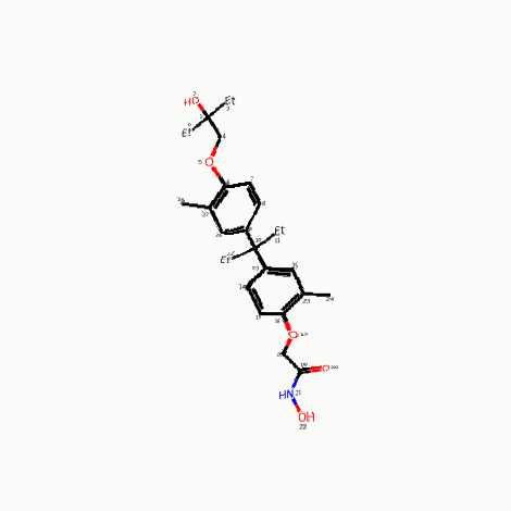 CCC(O)(CC)COc1ccc(C(CC)(CC)c2ccc(OCC(=O)NO)c(C)c2)cc1C